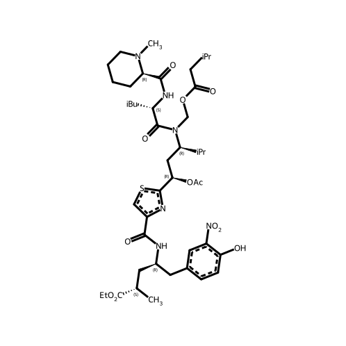 CCOC(=O)[C@@H](C)C[C@H](Cc1ccc(O)c([N+](=O)[O-])c1)NC(=O)c1csc([C@@H](C[C@H](C(C)C)N(COC(=O)CC(C)C)C(=O)[C@@H](NC(=O)[C@H]2CCCCN2C)C(C)CC)OC(C)=O)n1